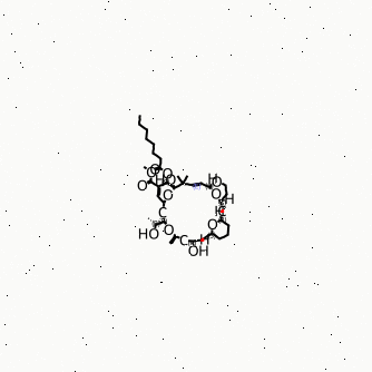 C=C1C[C@H](O)C[C@@H]2CCC[C@H](C[C@@H]3CCO[C@H](/C=C/C(C)(C)C4(O)OC(C=C(C(=O)OC)[C@@H]4OC(=O)CCCCCCC)C[C@H]([C@@H](C)O)O1)O3)O2